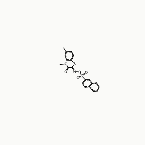 COC(=O)/C(=N/OS(=O)(=O)c1ccc2ccccc2c1)Sc1ccc(C)cc1